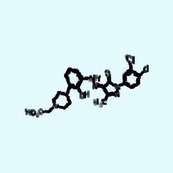 CC1=NN(c2ccc(Cl)c(Cl)c2)C(=O)C1=NNc1cccc(C2CCN(CC(=O)O)CC2)c1O